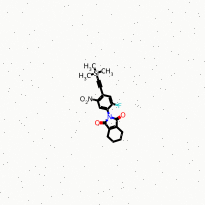 C[Si](C)(C)C#Cc1cc(F)c(N2C(=O)C3=C(CCCC3)C2=O)cc1[N+](=O)[O-]